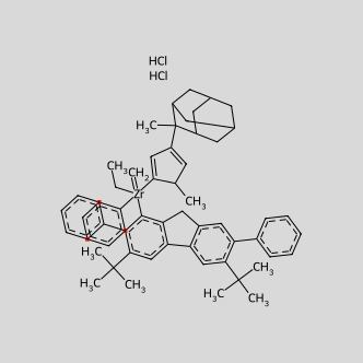 Cl.Cl.[CH2]=[Zr]([CH2]C)([C]1=CC(C2(C)C3CC4CC(C3)CC2C4)=CC1C)([c]1ccccc1)[c]1c2c(cc(C(C)(C)C)c1-c1ccccc1)-c1cc(C(C)(C)C)c(-c3ccccc3)cc1C2